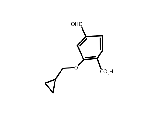 O=Cc1ccc(C(=O)O)c(OCC2CC2)c1